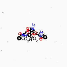 CC1=C(C(=O)OCCCNC(=O)c2ccccc2C(=O)O)C(c2cccc([N+](=O)[O-])c2)C(C(=O)OCCCNC(=O)c2ccccc2C(=O)O)=C(C)N1